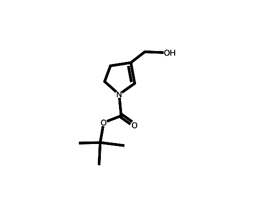 CC(C)(C)OC(=O)N1C=C(CO)CC1